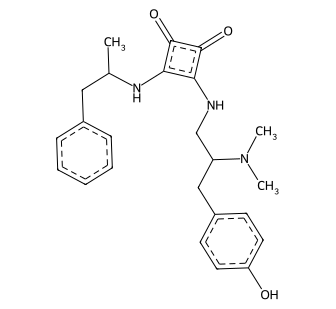 CC(Cc1ccccc1)Nc1c(NCC(Cc2ccc(O)cc2)N(C)C)c(=O)c1=O